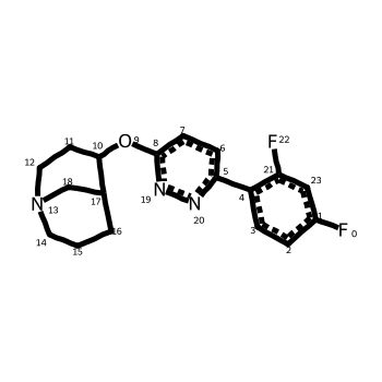 Fc1ccc(-c2ccc(OC3CCN4CCCC3C4)nn2)c(F)c1